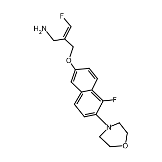 NC/C(=C\F)COc1ccc2c(F)c(N3CCOCC3)ccc2c1